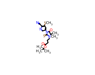 CSc1cc(N2C(=O)C(C)(C)N(CCCC(=O)OC(C)(C)C)C2=S)cnc1C#N